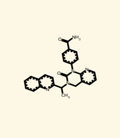 CC(c1ccc2ccccc2n1)N1Cc2cccnc2N(c2ccc(C(N)=O)cc2)C1=O